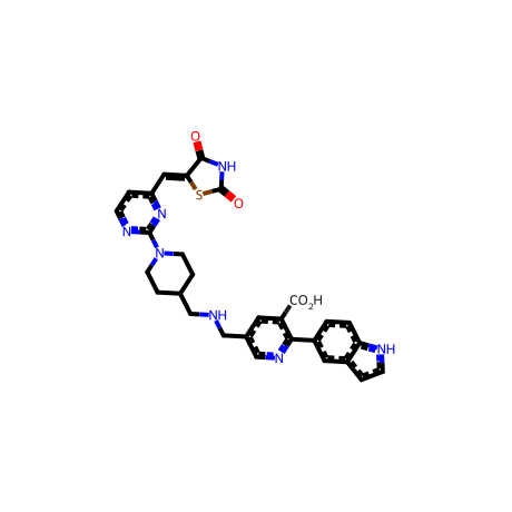 O=C1NC(=O)C(=Cc2ccnc(N3CCC(CNCc4cnc(-c5ccc6[nH]ccc6c5)c(C(=O)O)c4)CC3)n2)S1